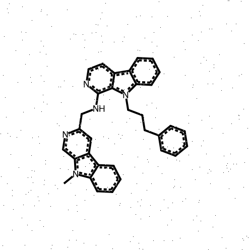 Cn1c2ccccc2c2cc(CNc3nccc4c5ccccc5n(CCCc5ccccc5)c34)ncc21